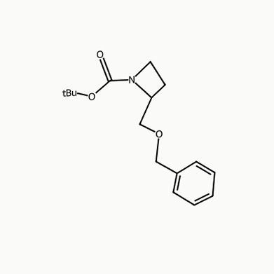 CC(C)(C)OC(=O)N1CCC1COCc1ccccc1